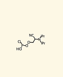 CC(C)N(C(C)C)C(C#N)COOP(O)Cl